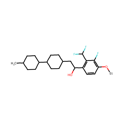 CCOc1ccc(C(O)CC2CCC(C3CCC(C)CC3)CC2)c(C(F)F)c1F